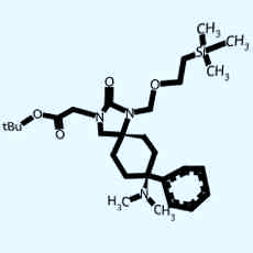 CN(C)[C@]1(c2ccccc2)CC[C@@]2(CC1)CN(CC(=O)OC(C)(C)C)C(=O)N2COCC[Si](C)(C)C